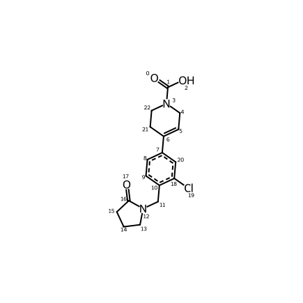 O=C(O)N1CC=C(c2ccc(CN3CCCC3=O)c(Cl)c2)CC1